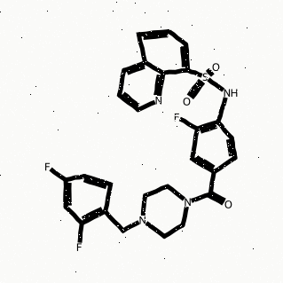 O=C(c1ccc(NS(=O)(=O)c2cccc3cccnc23)c(F)c1)N1CCN(Cc2ccc(F)cc2F)CC1